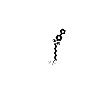 C=CCCCCCCCS(=O)(=O)c1ccc(C2CCCC2)cc1